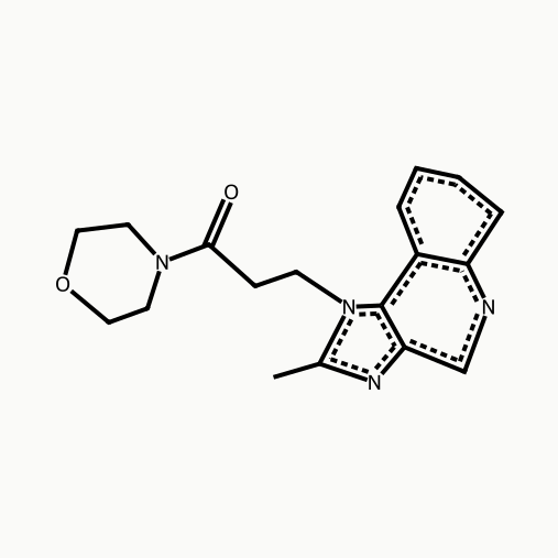 Cc1nc2cnc3ccccc3c2n1CCC(=O)N1CCOCC1